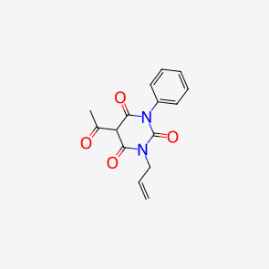 C=CCN1C(=O)C(C(C)=O)C(=O)N(c2ccccc2)C1=O